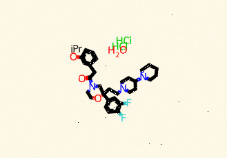 CC(C)Oc1cccc(CC(=O)N2CCOC(CCN3CCC(N4CCCCC4)CC3)(c3ccc(F)c(F)c3)C2)c1.Cl.Cl.O